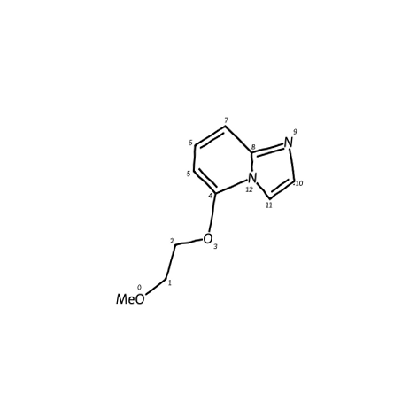 COCCOc1cccc2n[c]cn12